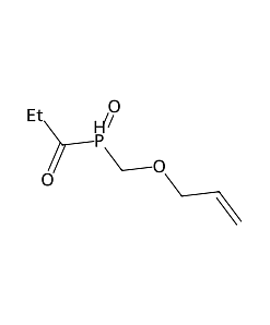 C=CCOC[PH](=O)C(=O)CC